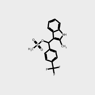 Cc1[nH]c2ccccc2c1C(OS(C)(=O)=O)c1ccc(C(F)(F)F)cc1